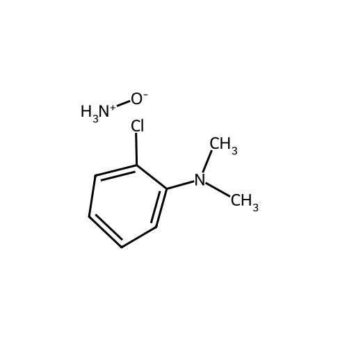 CN(C)c1ccccc1Cl.[NH3+][O-]